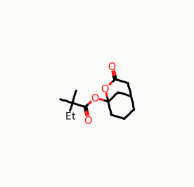 CCC(C)(C)C(=O)OC12CCCC(CC(=O)O1)C2